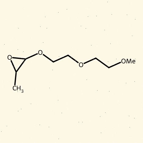 COCCOCCOC1OC1C